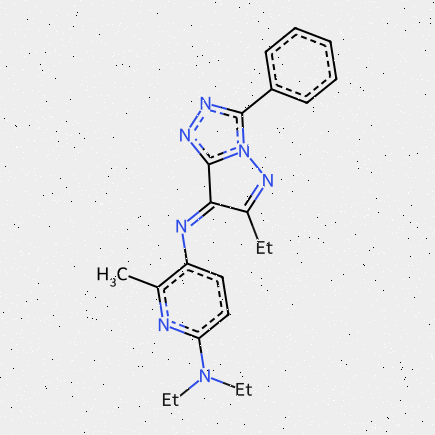 CCC1=Nn2c(nnc2-c2ccccc2)/C1=N/c1ccc(N(CC)CC)nc1C